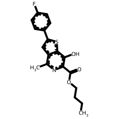 CCCCOC(=O)c1nc(C)c2cc(-c3ccc(F)cc3)sc2c1O